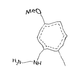 COc1ccc(C)c(NN)c1